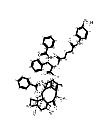 CC(=O)O[C@H]1C(=O)[C@@]2(C)[C@H]([C@H](OC(=O)c3ccccc3)[C@]3(O)C[C@H](OC(=O)[C@H](OC(=O)CCCC(=O)Nc4ccc(C(=O)O)cc4)[C@@H](NC(=O)c4ccccc4)c4ccccc4)C(C)=C1C3(C)C)[C@]1(OC(C)=O)CO[C@@H]1C[C@@H]2O